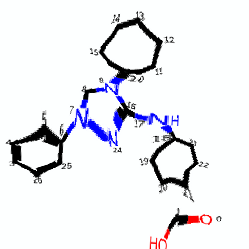 O=CO.c1ccc(N2CN(C3CCCCC3)C(NC3CCCCC3)=N2)cc1